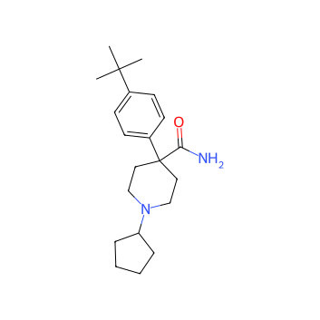 CC(C)(C)c1ccc(C2(C(N)=O)CCN(C3CCCC3)CC2)cc1